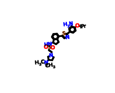 CC(C)Oc1ccc(-c2ncc(-c3cccc4c3CC[C@H]4NS(=O)(=O)CCN3CCC(N(C)C)C3)s2)cc1N